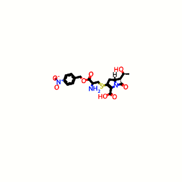 C[C@H](O)[C@@H]1C(=O)N2C(C(=O)O)=C(SCC(N)C(=O)OCc3ccc([N+](=O)[O-])cc3)C[C@H]12